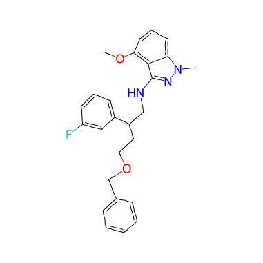 COc1cccc2c1c(NCC(CCOCc1ccccc1)c1cccc(F)c1)nn2C